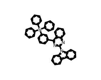 c1ccc([Si](c2ccccc2)(c2ccccc2)c2cccc(-c3nc(-n4c5ccccc5c5ccccc54)nc4ccccc34)c2)cc1